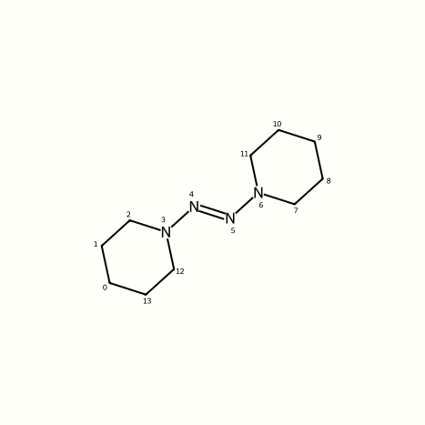 C1CCN(N=NN2CCCCC2)CC1